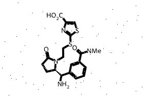 CNC(=O)c1cccc(C(N)[C@H]2CCC(=O)N2CCSc2nc(C(=O)O)cs2)c1